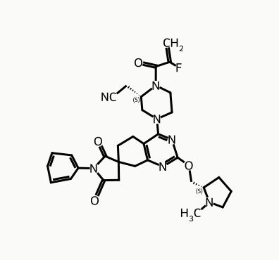 C=C(F)C(=O)N1CCN(c2nc(OC[C@@H]3CCCN3C)nc3c2CCC2(CC(=O)N(c4ccccc4)C2=O)C3)C[C@@H]1CC#N